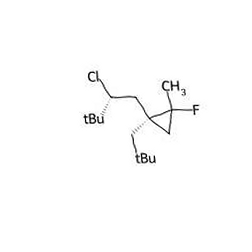 CC(C)(C)C[C@@]1(C[C@@H](Cl)C(C)(C)C)CC1(C)F